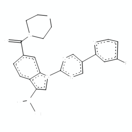 C[S+]([O-])c1cn(-c2ncc(-c3cc(F)ccn3)cn2)c2cc(C(=O)N3CCOCC3)ccc12